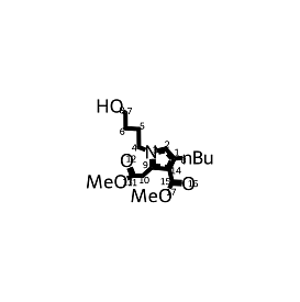 CCCCc1cn(CCCCO)c(CC(=O)OC)c1C(=O)OC